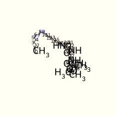 CCCCC/C=C\C/C=C\CCCCCCCCNc1cccc(NC(=O)CCNC(=O)C2OC(C)(C)OCC2(C)C)c1